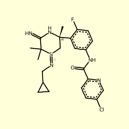 CC1(C)C(=N)N[C@](C)(c2cc(NC(=O)c3ccc(Cl)cn3)ccc2F)C/[Si]1=N/CC1CC1